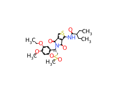 CCOc1cc([C@@H](CS(C)(=O)=O)N2C(=O)c3csc(NC(=O)C(CC)CC)c3C2=O)ccc1OC